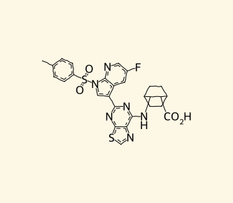 Cc1ccc(S(=O)(=O)n2cc(-c3nc(NC4C5CCC(CC5)C4C(=O)O)c4ncsc4n3)c3cc(F)cnc32)cc1